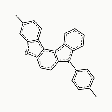 Cc1ccc(-n2c3ccccc3c3c4c(ccc32)oc2cc(C)ccc24)cc1